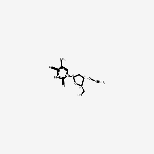 C=NO[C@H]1C[C@H](n2cc(C)c(=O)[nH]c2=O)O[C@@H]1CO